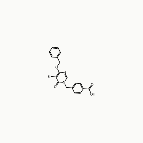 O=C(O)c1ccc(Cn2cnc(OCc3ccccc3)c(Br)c2=O)cc1